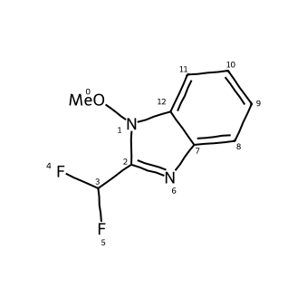 COn1c(C(F)F)nc2ccccc21